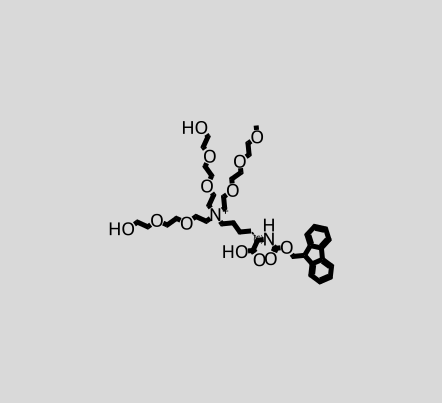 COCCOCCOCC[N+](CCCC[C@H](NC(=O)OCC1c2ccccc2-c2ccccc21)C(=O)O)(CCOCCOCCO)CCOCCOCCO